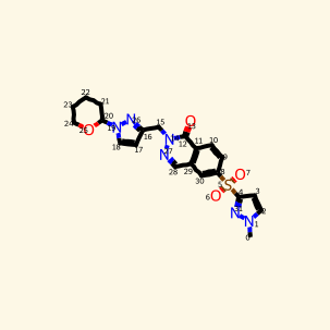 Cn1ccc(S(=O)(=O)c2ccc3c(=O)n(Cc4ccn(C5CCCCO5)n4)ncc3c2)n1